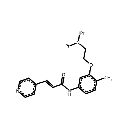 Cc1ccc(NC(=O)/C=C/c2ccncc2)cc1OCCN(C(C)C)C(C)C